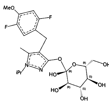 COc1cc(F)c(Cc2c(O[C@]3(O)O[C@H](CO)[C@@H](O)[C@H](O)[C@H]3O)nn(C(C)C)c2C)cc1F